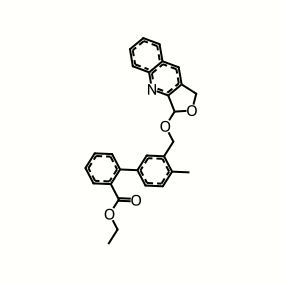 CCOC(=O)c1ccccc1-c1ccc(C)c(COC2OCc3cc4ccccc4nc32)c1